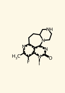 Cc1nc2c3c(nc(=O)n(I)c3c1F)N1CCNCC1CC2